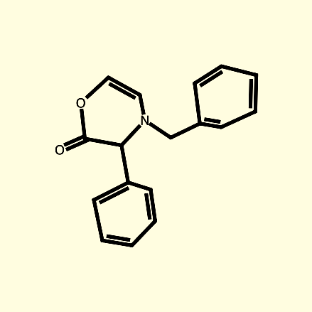 O=C1OC=CN(Cc2ccccc2)C1c1ccccc1